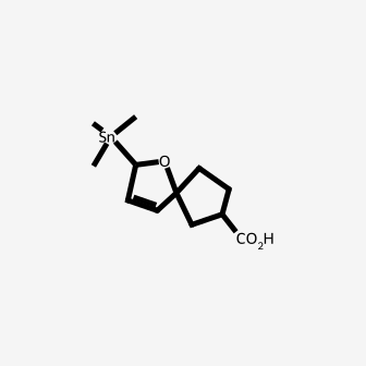 [CH3][Sn]([CH3])([CH3])[CH]1C=CC2(CCC(C(=O)O)C2)O1